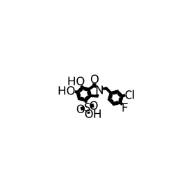 O=C1c2c(O)c(O)cc(S(=O)(=O)O)c2CN1Cc1ccc(F)c(Cl)c1